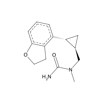 CN(C[C@@H]1C[C@H]1c1cccc2c1CCO2)C(N)=O